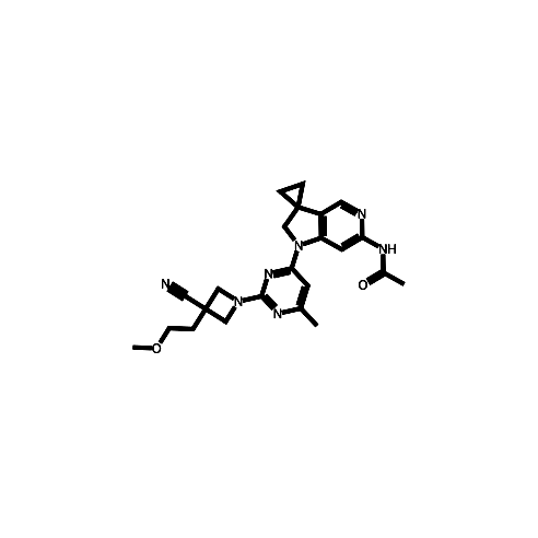 COCCC1(C#N)CN(c2nc(C)cc(N3CC4(CC4)c4cnc(NC(C)=O)cc43)n2)C1